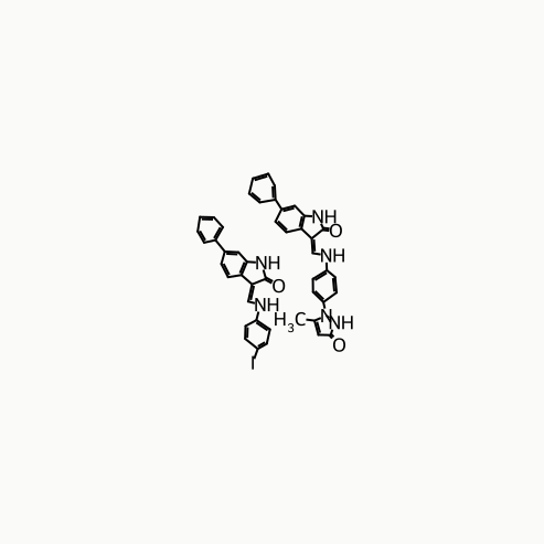 Cc1cc(=O)[nH]n1-c1ccc(NC=C2C(=O)Nc3cc(-c4ccccc4)ccc32)cc1.O=C1Nc2cc(-c3ccccc3)ccc2C1=CNc1ccc(I)cc1